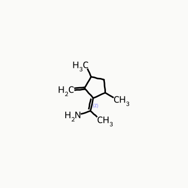 C=C1/C(=C(/C)N)C(C)CC1C